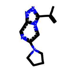 C=C(C)c1nnc2cnc(N3CCCC3)cn12